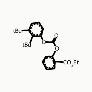 CCOC(=O)c1ccccc1OC(=O)Oc1cccc(C(C)(C)C)c1C(C)(C)C